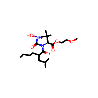 CCCCC(CC(C)C)C(=O)N(C(=O)NO)[C@H](C(=O)OCCOC)C(C)(C)C